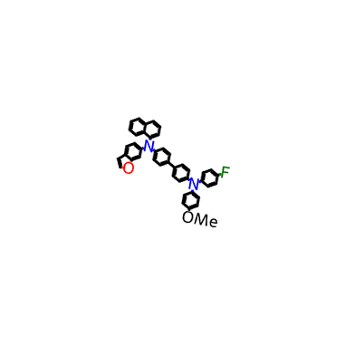 COc1ccc(N(c2ccc(F)cc2)c2ccc(-c3ccc(N(c4ccc5ccoc5c4)c4cccc5ccccc45)cc3)cc2)cc1